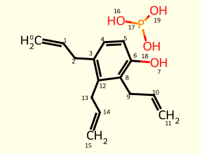 C=CCc1ccc(O)c(CC=C)c1CC=C.OP(O)O